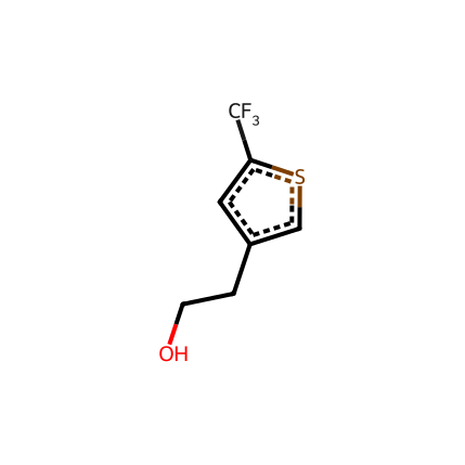 OCCc1csc(C(F)(F)F)c1